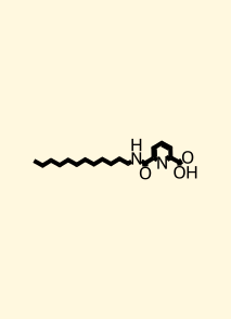 CCCCCCCCCCCCNC(=O)c1cccc(C(=O)O)n1